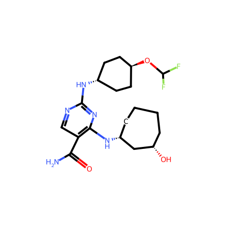 NC(=O)c1cnc(N[C@H]2CC[C@H](OC(F)F)CC2)nc1N[C@@H]1CCCC[C@H](O)C1